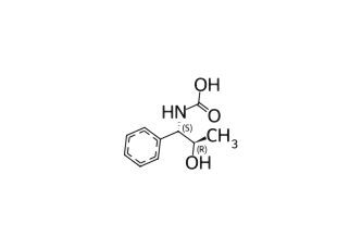 C[C@@H](O)[C@@H](NC(=O)O)c1ccccc1